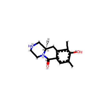 Cc1cc2c(c(C)c1O)C[C@@H]1CNCCN1C2=O